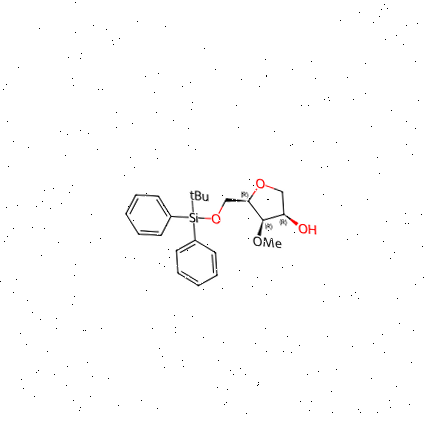 CO[C@@H]1[C@H](O)CO[C@@H]1CO[Si](c1ccccc1)(c1ccccc1)C(C)(C)C